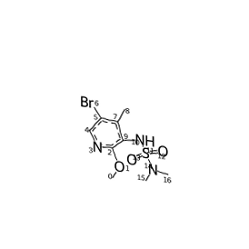 COc1ncc(Br)c(C)c1NS(=O)(=O)N(C)C